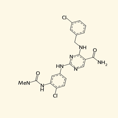 CNC(=O)Nc1cc(Nc2ncc(C(N)=O)c(NCc3cccc(Cl)c3)n2)ccc1Cl